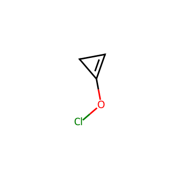 ClOC1=CC1